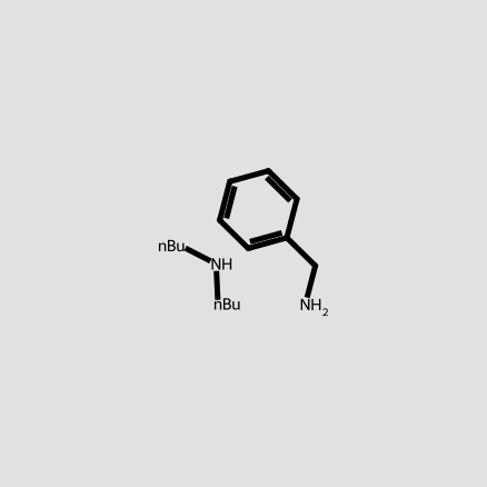 CCCCNCCCC.NCc1ccccc1